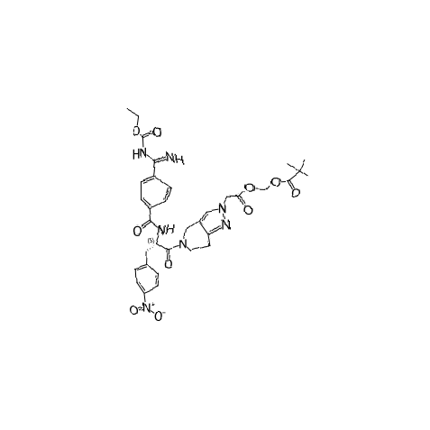 CCOC(=O)NC(=N)c1ccc(C(=O)N[C@@H](Cc2ccc([N+](=O)[O-])cc2)C(=O)N2CCc3nn(CC(=O)OCOC(=O)C(C)(C)C)cc3C2)cc1